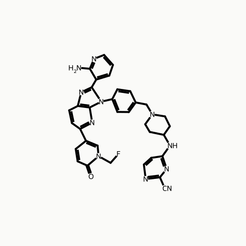 N#Cc1nccc(NC2CCN(Cc3ccc(-n4c(-c5cccnc5N)nc5ccc(-c6ccc(=O)n(CF)c6)nc54)cc3)CC2)n1